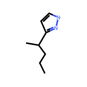 CCCC(C)C1=N[N]C=C1